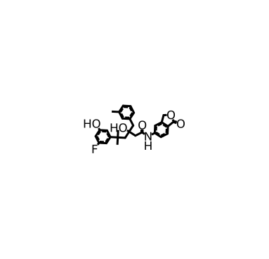 Cc1cccc(CC(O)(CC(=O)Nc2ccc3c(c2)COC3=O)CC(C)(C)c2cc(O)cc(F)c2)c1